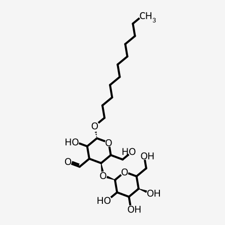 CCCCCCCCCCCO[C@@H]1OC(CO)[C@@H](O[C@H]2OC(CO)[C@@H](O)C(O)C2O)C(C=O)C1O